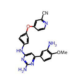 COc1ccc(-c2cc(Nc3ccc(Oc4ccnc(C#N)c4)cc3)nc(N)n2)cc1N